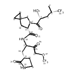 C[C@@H](C[C@@H](O)C(=O)N1CC2(CC2)C[C@H]1C(=O)NC(C[C@@H]1CCNC1=O)C(=O)COC(F)(F)F)C(F)(F)F